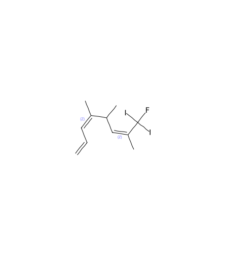 C=C/C=C(/C)C(C)/C=C(/C)C(F)(I)I